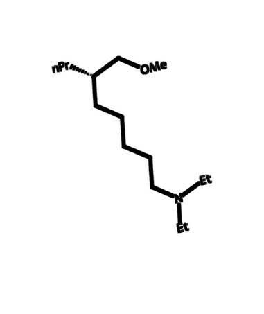 CCC[C@@H](CCCCCN(CC)CC)COC